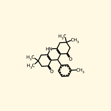 Cc1cccc(C2C3=C(CC(C)(C)CC3=O)NC3=C2C(=O)CC(C)(C)C3)c1